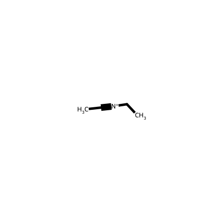 CC#[N+]CC